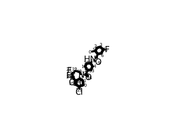 Cc1ccc(F)cc1C(=O)Nc1ccc(C(=O)N2CCC(F)(F)[C@](C)(O)c3cc(Cl)ccc32)cc1